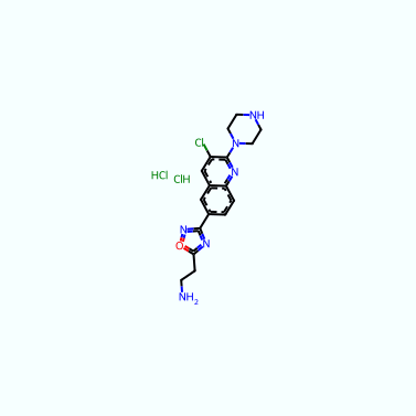 Cl.Cl.NCCc1nc(-c2ccc3nc(N4CCNCC4)c(Cl)cc3c2)no1